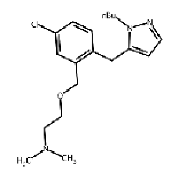 CCCCn1nccc1Cc1ccc(Cl)cc1COCCN(C)C